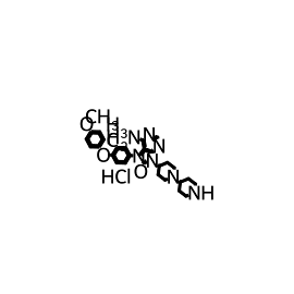 COc1ccc(Oc2ccc(-n3c(=O)n(C4CCN(C5CCNCC5)CC4)c4ncnc(N)c43)cc2C)cc1.Cl